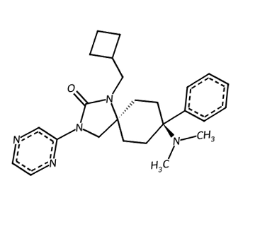 CN(C)[C@]1(c2ccccc2)CC[C@]2(CC1)CN(c1cnccn1)C(=O)N2CC1CCC1